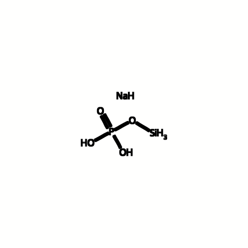 O=P(O)(O)O[SiH3].[NaH]